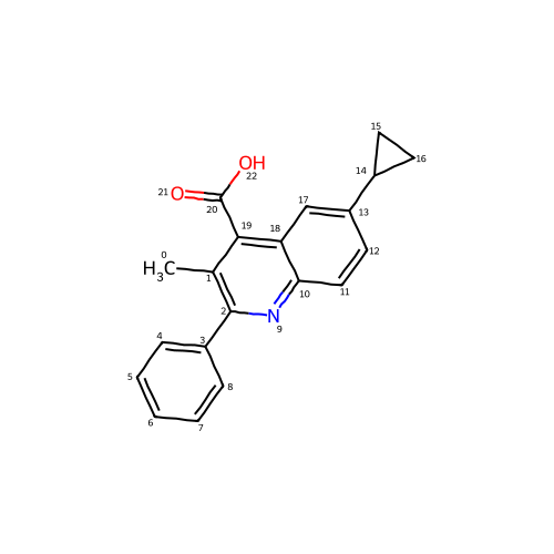 Cc1c(-c2ccccc2)nc2ccc(C3CC3)cc2c1C(=O)O